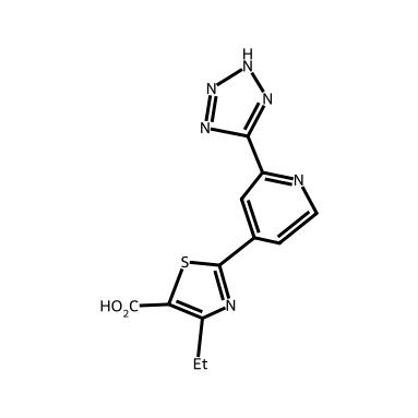 CCc1nc(-c2ccnc(-c3nn[nH]n3)c2)sc1C(=O)O